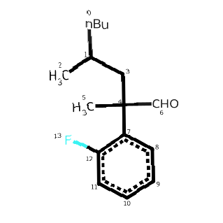 CCCCC(C)CC(C)(C=O)c1ccccc1F